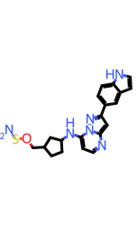 NSOCC1CCC(Nc2ccnc3cc(-c4ccc5[nH]ccc5c4)nn23)C1